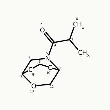 CC(C)C(=O)N1CC2CCCC1CO2